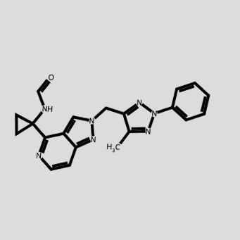 Cc1nn(-c2ccccc2)nc1Cn1cc2c(C3(NC=O)CC3)nccc2n1